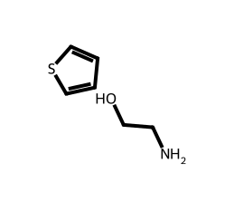 NCCO.c1ccsc1